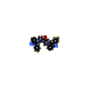 O=C(C1CCCN(Cc2c(-c3ccc(F)cc3)[nH]c3ccccc23)C1)C1CCCN(Cc2c(-c3ccc(F)cc3)[nH]c3ccccc23)C1